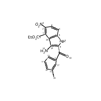 CCOC(=O)c1c([N+](=O)[O-])ccc2[nH]c(C(=O)c3cccc(C)c3)c(N)c12